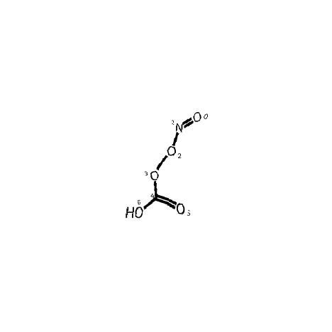 O=NOOC(=O)O